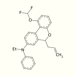 C=CCC1Oc2cccc(OC(F)F)c2-c2ccc(N(CC)c3ccccc3)cc21